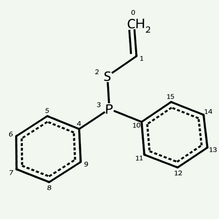 C=CSP(c1ccccc1)c1ccccc1